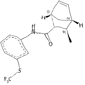 C[C@H]1C(C(=O)Nc2cccc(SC(F)(F)F)c2)[C@@H]2C=C[C@H]1C2